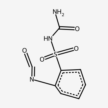 NC(=O)NS(=O)(=O)c1ccccc1N=C=O